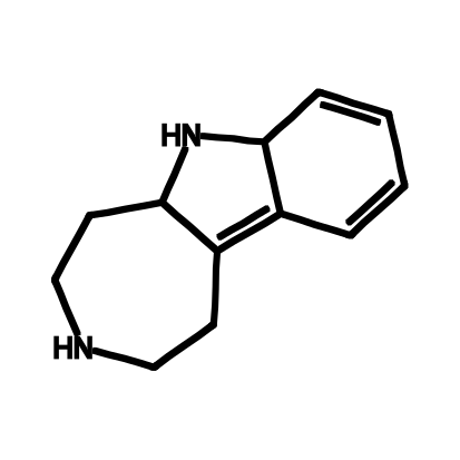 C1=CC2=C3CCNCCC3NC2C=C1